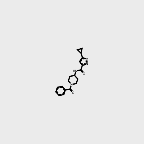 O=C(NC1CCN(C(=O)c2ccccc2)CC1)c1cc(C2CC2)on1